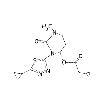 CN1CCC(OC(=O)CCl)N(c2nnc(C3CC3)s2)C1=O